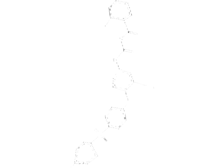 O=C(NC(=O)c1ccccc1Cl)Nc1ccc(Oc2ccc(S(=O)(=O)c3ccc(Cl)cc3)cc2)c(C(F)(F)F)c1